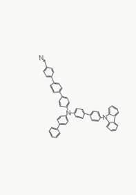 N#Cc1ccc(-c2ccc(-c3ccc(N(c4ccc(-c5ccccc5)cc4)c4ccc(-c5ccc(-n6c7ccccc7c7ccccc76)cc5)cc4)cc3)cc2)cc1